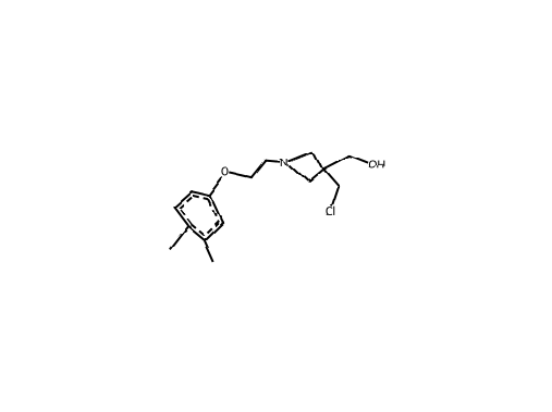 Cc1ccc(OCCN2CC(CO)(CCl)C2)cc1C